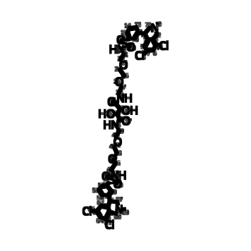 CN1Cc2c(Cl)cc(Cl)cc2C(c2cccc(S(=O)(=O)NCCOCCOCCNC(=O)C(O)C(O)C(=O)NCCOCCOCCNS(=O)(=O)c3cccc(C4CN(C)Cc5c(Cl)cc(Cl)cc54)c3)c2)C1